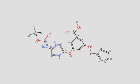 COC(=O)c1cc(OCc2ccccc2)cc(Oc2cnc(NC(=O)OC(C)(C)C)cn2)c1